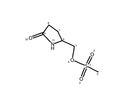 CS(=O)(=O)OCC1CCC(=O)N1